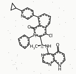 C[C@H](Nc1ncnc2[nH]ccc(=O)c12)c1c(Cl)c2cccc(-c3ccc(C4CC4)nc3)c2c(=O)n1-c1ccccc1